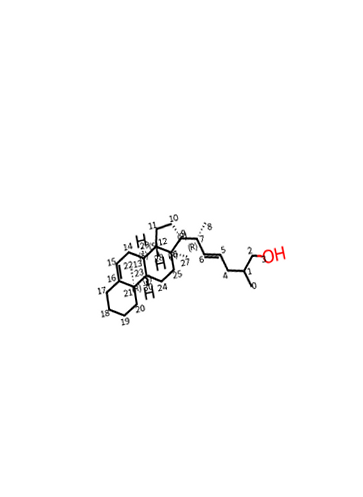 CC(CO)CC=C[C@@H](C)[C@H]1CC[C@H]2[C@@H]3CC=C4CCCC[C@]4(C)[C@H]3CC[C@]12C